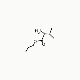 CCCOC(=O)C(N)C(C)C